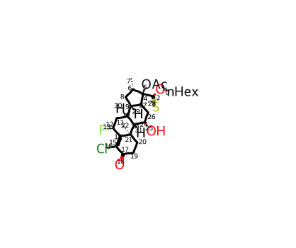 CCCCCCOC(=S)[C@@]1(OC(C)=O)[C@@H](C)C[C@H]2[C@@H]3C[C@H](F)C4=C(Cl)C(=O)CC[C@]4(C)[C@H]3[C@@H](O)C[C@@]21C